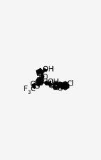 O=C(c1ccc(OC(=O)C(F)(F)F)cc1OC[C@@H](O)CN1CCC2(CC1)Cc1cc(Cl)ccc1O2)N1CCC[C@H]1CO